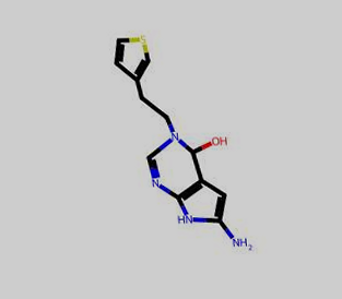 Nc1cc2c([nH]1)N=CN(CCc1ccsc1)C2O